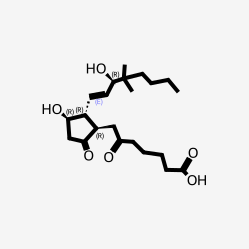 CCCCC(C)(C)[C@H](O)/C=C/[C@H]1[C@H](O)CC(=O)[C@@H]1CC(=O)CCCCC(=O)O